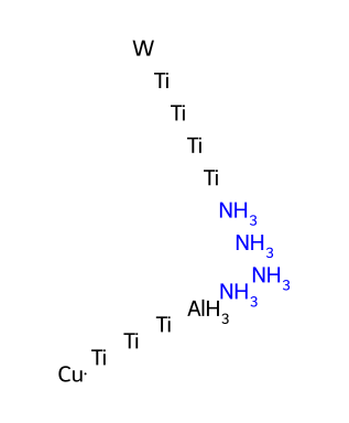 N.N.N.N.[AlH3].[Cu].[Ti].[Ti].[Ti].[Ti].[Ti].[Ti].[Ti].[W]